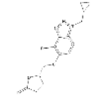 O=C1CC[C@@H](COc2ccc3c(nnn3CC3CC3)c2Br)O1